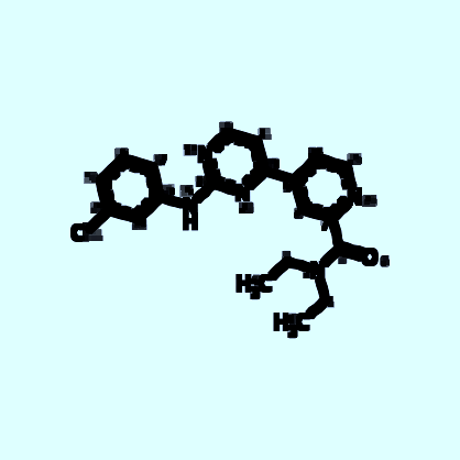 CCN(CC)C(=O)c1cc(-c2ccnc(Nc3cccc(Cl)c3)n2)ccn1